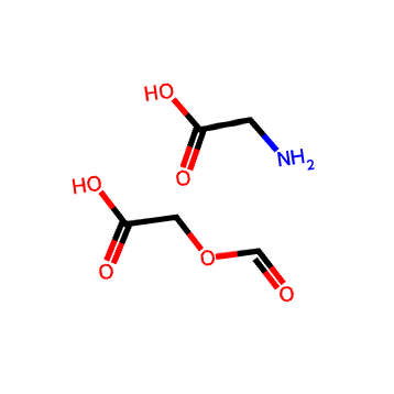 NCC(=O)O.O=COCC(=O)O